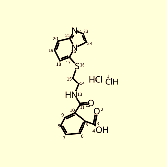 Cl.Cl.O=C(O)c1ccccc1C(=O)NCCSc1cccc2nccn12